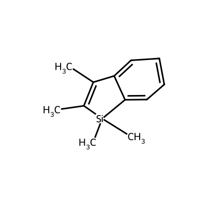 CC1=C(C)[Si](C)(C)c2ccccc21